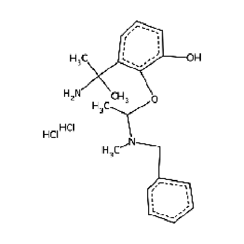 CC(Oc1c(O)cccc1C(C)(C)N)N(C)Cc1ccccc1.Cl.Cl